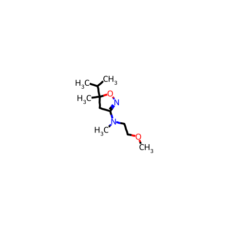 COCCN(C)C1=NOC(C)(C(C)C)C1